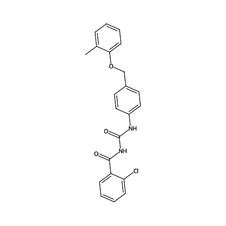 Cc1ccccc1OCc1ccc(NC(=O)NC(=O)c2ccccc2Cl)cc1